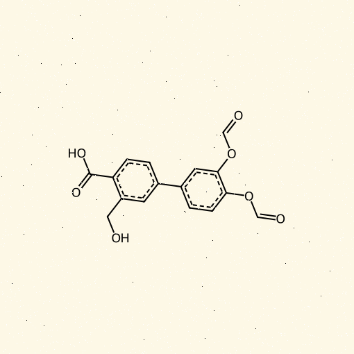 O=COc1ccc(-c2ccc(C(=O)O)c(CO)c2)cc1OC=O